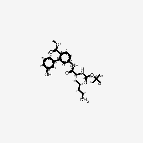 COC(=O)c1ccc(NC(=O)[C@@H](CCCCN)NC(=O)OC(C)(C)C)cc1-c1cccc(O)c1